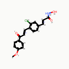 COc1ccc(C(=O)/C=C/c2ccc(/C=C/C(=O)NO)cc2Cl)cc1